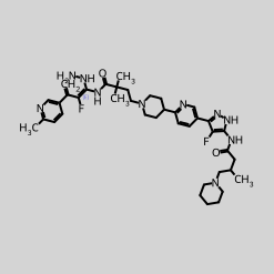 C=C(/C(F)=C(\NN)NC(=O)C(C)(C)CCN1CCC(c2ccc(-c3n[nH]c(NC(=O)CC(C)CN4CCCCC4)c3F)cn2)CC1)c1ccc(C)nc1